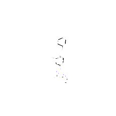 Cc1cnc(C(C)NCc2ccc(OCc3ccc(SC(F)(F)F)cc3)c([N+](=O)[O-])c2)s1